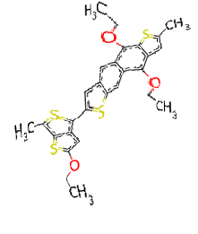 CCOc1cc2c(-c3cc4cc5c(OCC)c6sc(C)cc6c(OCC)c5cc4s3)sc(C)c2s1